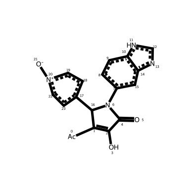 CC(=O)C1=C(O)C(=O)N(c2ccc3[nH]cnc3c2)C1c1cc[n+]([O-])cc1